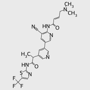 CC(C(=O)Nc1ncc(C(F)(F)F)s1)c1cncc(-c2cnc(NC(=O)/C=C/CN(C)C)c(C#N)c2)c1